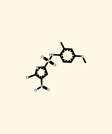 COc1ccc(NS(=O)(=O)c2cc([N+](=O)[O-])c(Cl)s2)c(C)c1